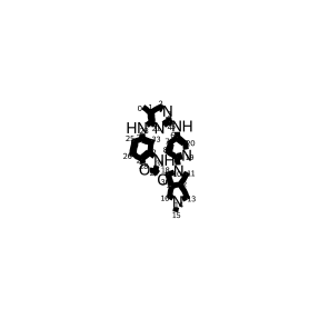 Cc1cnc(Nc2ccc(N3CC4CN(C)CC4C3)nc2)nc1Nc1ccc2oc(=O)[nH]c2c1